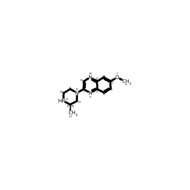 COc1ccc2nc(N3CCN[C@H](C)C3)cnc2c1